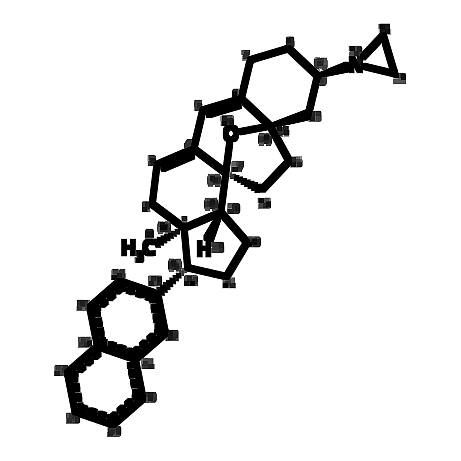 C[C@]12CC=C3C=C4CC[C@@H](N5CC5)C[C@]45CC[C@]3(O5)[C@@H]1CC[C@@H]2c1ccc2ccccc2c1